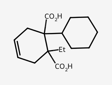 CCC1(C(=O)O)CC=CCC1(C(=O)O)C1CCCCC1